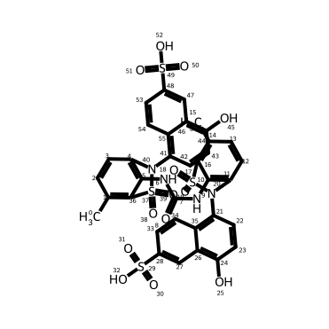 Cc1ccc2c(NC(=O)Nc3c4ccc(C)c3S(=O)(=O)N4c3ccc(O)c4cc(S(=O)(=O)O)ccc34)c1S(=O)(=O)N2c1ccc(O)c2cc(S(=O)(=O)O)ccc12